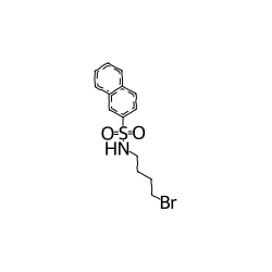 O=S(=O)(NCCCCBr)c1ccc2ccccc2c1